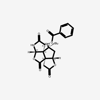 CC(C)(C)[C@]1(O)C[C@@H]2OC(=O)C[C@@]23C(=O)O[C@@H]2NC(=O)[C@H](OC(=O)c4ccccc4)[C@]213